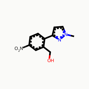 Cn1ccc(-c2ccc([N+](=O)[O-])cc2CO)n1